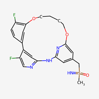 CS(=N)(=O)Cc1cc2nc(c1)OCCCCOc1cc(ccc1F)-c1cc(ncc1F)N2